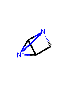 C1C2C3[N@@]1[N+]23